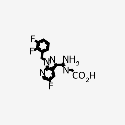 NC(=NCC(=O)O)c1nn(Cc2cccc(F)c2F)c2ncc(F)cc12